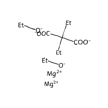 CCC(CC)(C(=O)[O-])C(=O)[O-].CC[O-].CC[O-].[Mg+2].[Mg+2]